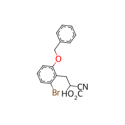 N#CC(Cc1c(Br)cccc1OCc1ccccc1)C(=O)O